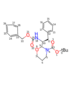 CC(C)(C)OC(=O)N1CCCOC1[C@H](Cc1ccccc1)NC(=O)OCc1ccccc1